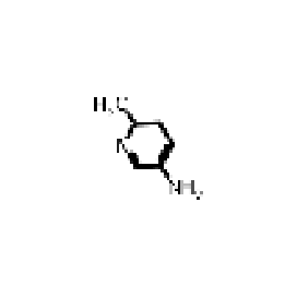 CC1CC=C(N)C=N1